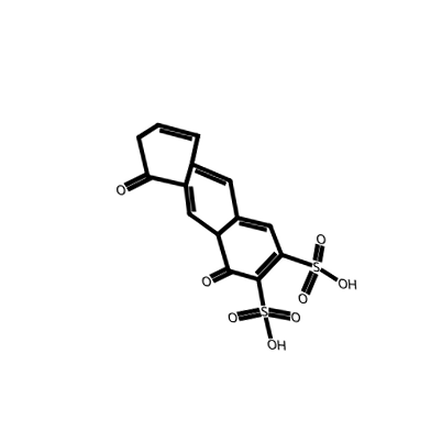 O=C1CC=CC2=CC3=CC(S(=O)(=O)O)=C(S(=O)(=O)O)C(=O)C3C=C12